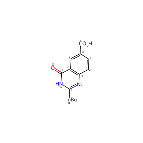 CCCCc1nc2ccc(C(=O)O)cc2c(=O)[nH]1